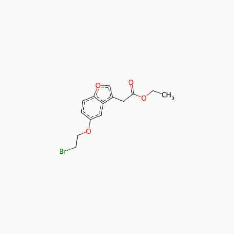 CCOC(=O)Cc1coc2ccc(OCCBr)cc12